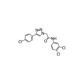 O=C(Cn1cc(-c2ccc(Cl)cc2)nn1)Nc1ccc(Cl)c(Cl)c1